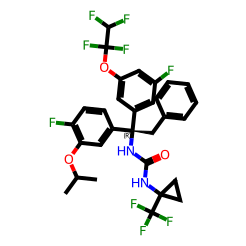 CC(C)Oc1cc([C@@](Cc2ccccc2)(NC(=O)NC2(C(F)(F)F)CC2)c2cc(F)cc(OC(F)(F)C(F)F)c2)ccc1F